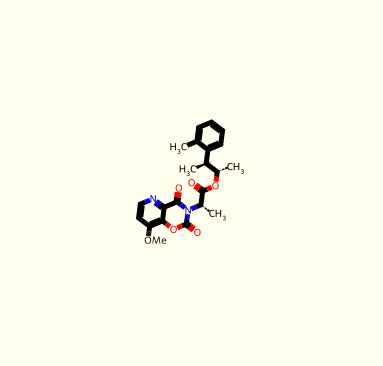 COc1ccnc2c(=O)n([C@@H](C)C(=O)O[C@@H](C)[C@@H](C)c3ccccc3C)c(=O)oc12